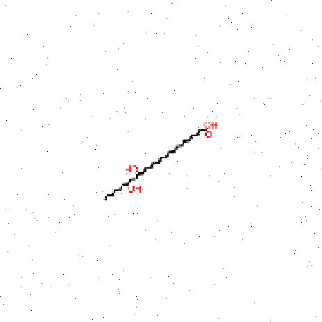 CCCCCCC(O)CCC(O)CCCCCCCCCCCCCCCCC(=O)O